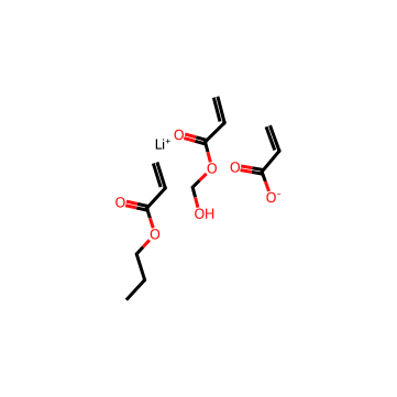 C=CC(=O)OCCC.C=CC(=O)OCO.C=CC(=O)[O-].[Li+]